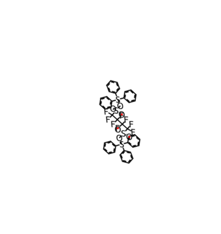 O=S(=O)(OS(c1ccccc1)(c1ccccc1)c1ccccc1)C(F)(F)C(F)(F)C(F)(F)C(F)(F)S(=O)(=O)OS(c1ccccc1)(c1ccccc1)c1ccccc1